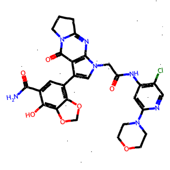 NC(=O)c1cc(-c2cn(CC(=O)Nc3cc(N4CCOCC4)ncc3Cl)c3nc4n(c(=O)c23)CCC4)c2c(c1O)OCO2